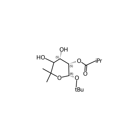 CC(C)C(=O)O[C@@H]1[C@H](OC(C)(C)C)OC(C)(C)C(O)[C@@H]1O